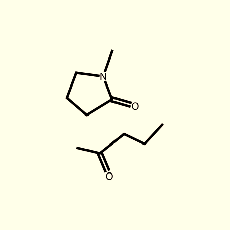 CCCC(C)=O.CN1CCCC1=O